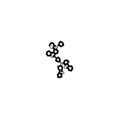 c1ccc(-n2c3ccccc3c3c4c(ccc32)c(-c2ccc(N(c3ccc5c(c3)sc3ccccc35)c3cccc5c3oc3ccccc35)cc2)nc2ccccc24)cc1